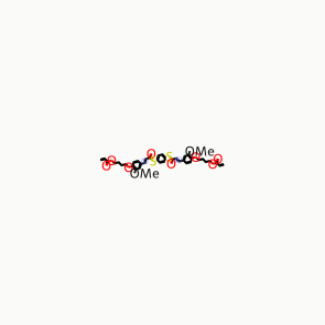 C=CC(=O)OCCCCOc1ccc(/C=C/C(=O)Sc2ccc(SC(=O)/C=C/c3ccc(OCCCCOC(=O)C=C)c(OC)c3)cc2)cc1OC